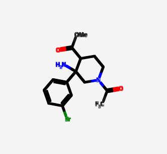 COC(=O)C1CCN(C(=O)C(F)(F)F)CC1(N)c1cccc(Br)c1